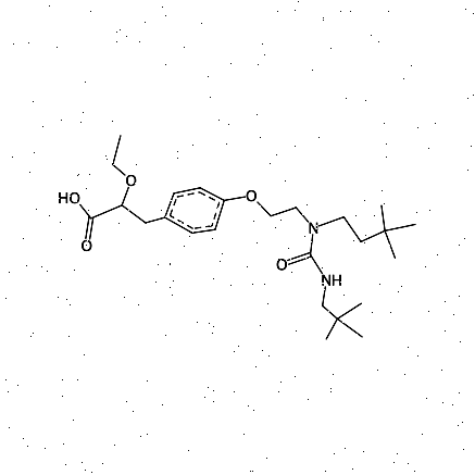 CCOC(Cc1ccc(OCCN(CCC(C)(C)C)C(=O)NCC(C)(C)C)cc1)C(=O)O